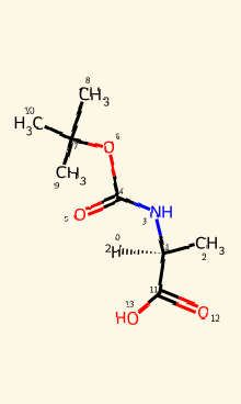 [2H][C@@](C)(NC(=O)OC(C)(C)C)C(=O)O